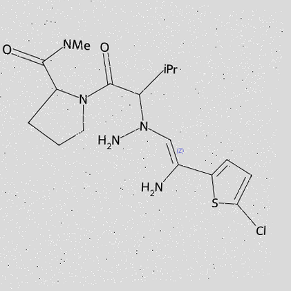 CNC(=O)C1CCCN1C(=O)C(C(C)C)N(N)/C=C(\N)c1ccc(Cl)s1